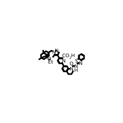 CCOC12CC3(C)CC(C)(CC(Cn4ncc(-c5ccc(-c6ccc7c(c6)N(C(=O)Nc6nc8ccccc8s6)CCC7)nc5C(=O)O)c4C)(C3)C1)C2